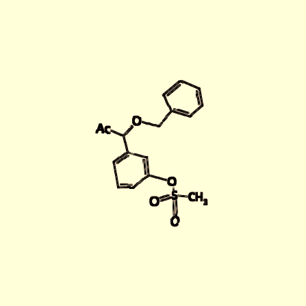 CC(=O)C(OCc1ccccc1)c1cccc(OS(C)(=O)=O)c1